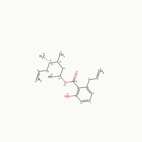 C=CCc1cccc(O)c1C(=O)OC(CCC)CC(C)[C@@H](C)CC=C